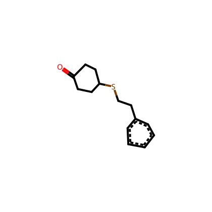 O=C1CCC(SCCc2ccccc2)CC1